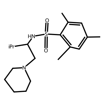 Cc1cc(C)c(S(=O)(=O)NC(CN2CCCCC2)C(C)C)c(C)c1